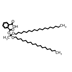 CCCCCCCCCCCCCCCCCCOC(C)(OCCCCCCCCCCCCCCCCCC)OC(=O)c1ccccc1C(=O)O